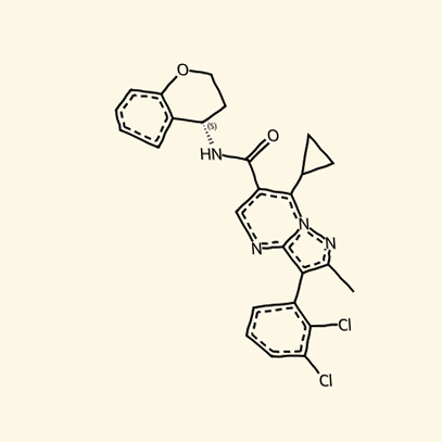 Cc1nn2c(C3CC3)c(C(=O)N[C@H]3CCOc4ccccc43)cnc2c1-c1cccc(Cl)c1Cl